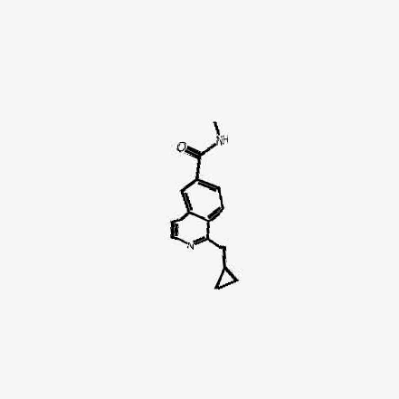 CNC(=O)c1ccc2c(CC3CC3)nccc2c1